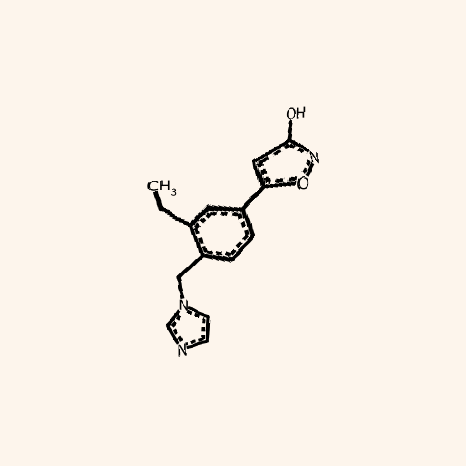 CCc1cc(-c2cc(O)no2)ccc1Cn1ccnc1